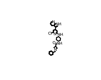 O=C(N[C@H]1CC[C@H](Nc2cc(-c3c[nH]c4ncccc34)cc(Cl)n2)CC1)C1CN(Cc2ccccc2)C1